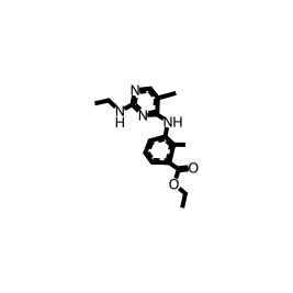 CCNc1ncc(C)c(Nc2cccc(C(=O)OCC)c2C)n1